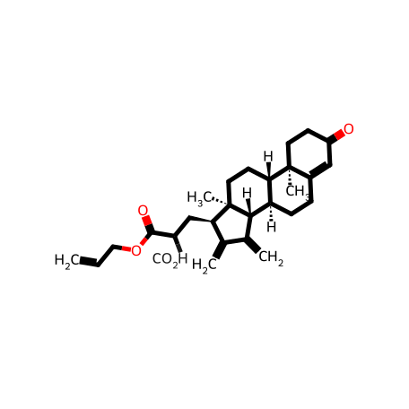 C=CCOC(=O)C(C[C@@H]1C(=C)C(=C)[C@H]2[C@@H]3CCC4=CC(=O)CC[C@]4(C)[C@H]3CC[C@]12C)C(=O)O